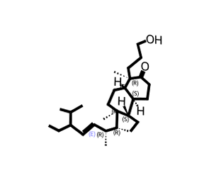 CCC(/C=C/[C@@H](C)[C@H]1CC[C@H]2[C@@H]3CCC(=O)[C@](C)(CCCO)[C@H]3CC[C@]12C)C(C)C